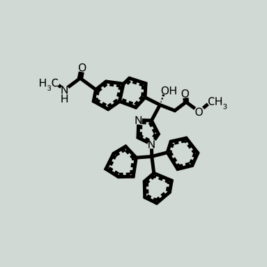 CNC(=O)c1ccc2cc([C@@](O)(CC(=O)OC)c3cn(C(c4ccccc4)(c4ccccc4)c4ccccc4)cn3)ccc2c1